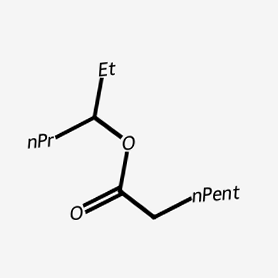 CCCCCCC(=O)OC(CC)CCC